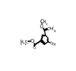 C=C(OC)c1cc(O)cc(C(=O)OC)c1